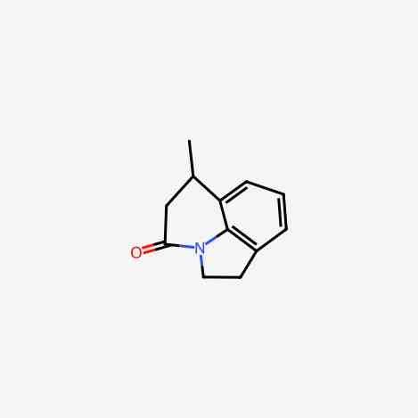 CC1CC(=O)N2CCc3cccc1c32